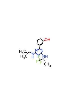 CC[C@@H](Nc1nc(NCC(C)C)nc(C2=CC(O)CCC2)n1)C(F)(F)F